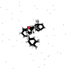 Cc1noc(N2CC3CC[C@@H](C2)[C@@H]3Nc2nc3n(n2)CCCN3c2ccc(F)c(F)c2)n1